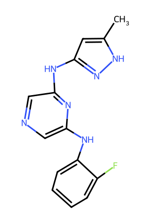 Cc1cc(Nc2cncc(Nc3ccccc3F)n2)n[nH]1